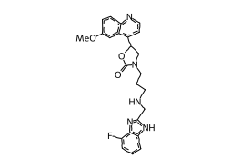 COc1ccc2nccc(C3CN(CCCNCc4nc5c(F)cccc5[nH]4)C(=O)O3)c2c1